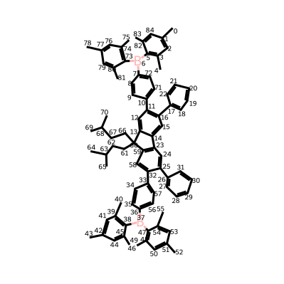 Cc1cc(C)c(B(c2ccc(-c3cc4c(cc3-c3ccccc3)-c3cc(-c5ccccc5)c(-c5ccc(B(c6c(C)cc(C)cc6C)c6c(C)cc(C)cc6C)cc5)cc3C4(CCC(C)C)CCC(C)C)cc2)c2c(C)cc(C)cc2C)c(C)c1